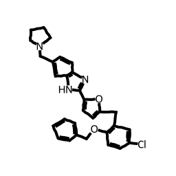 Clc1ccc(OCc2ccccc2)c(Cc2ccc(-c3nc4ccc(CN5CCCC5)cc4[nH]3)o2)c1